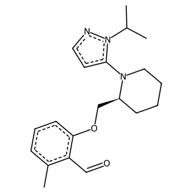 Cc1cccc(OC[C@@H]2CCCCN2c2ccnn2C(C)C)c1C=O